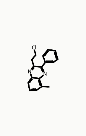 Cc1cccc2nc(CCCl)c(-c3ccccc3)nc12